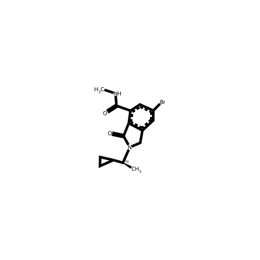 CNC(=O)c1cc(Br)cc2c1C(=O)N([C@@H](C)C1CC1)C2